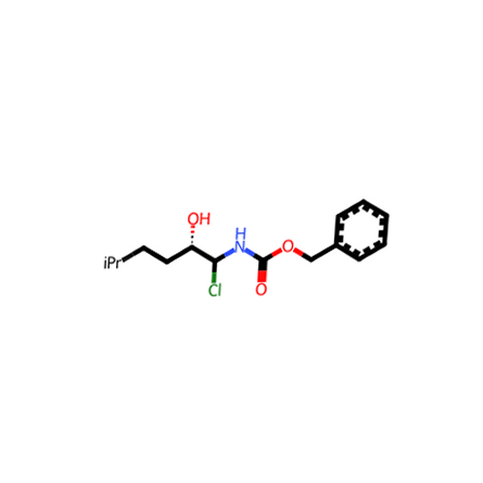 CC(C)CC[C@H](O)C(Cl)NC(=O)OCc1ccccc1